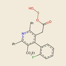 CCOC(=O)c1c(C(C)C)nc(C(C)C)c(CC(=O)OSO)c1-c1ccccc1F